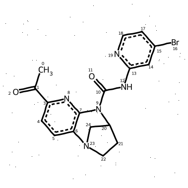 CC(=O)c1ccc2c(n1)N(C(=O)Nc1cc(Br)ccn1)C1CCN2C1